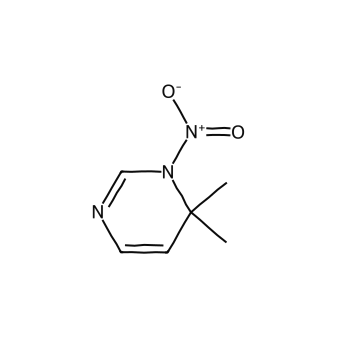 CC1(C)C=CN=CN1[N+](=O)[O-]